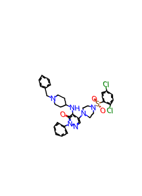 O=c1c(NC2CCN(Cc3ccccc3)CC2)c(N2CCN(S(=O)(=O)c3cc(Cl)ccc3Cl)CC2)cnn1-c1ccccc1